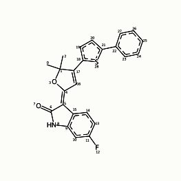 CC1(C)OC(=C2C(=O)Nc3cc(F)ccc32)C=C1c1ccc(-c2ccccc2)s1